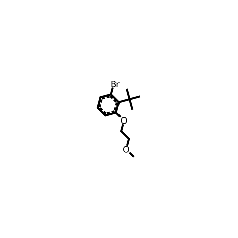 COCCOc1cccc(Br)c1C(C)(C)C